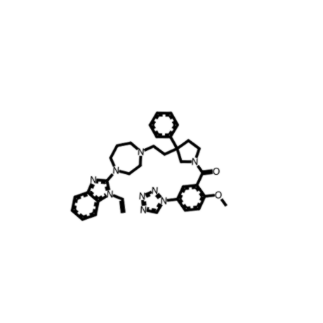 C=Cn1c(N2CCCN(CCC3(c4ccccc4)CCN(C(=O)c4cc(-n5cnnn5)ccc4OC)C3)CC2)nc2ccccc21